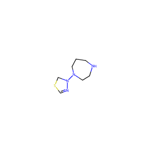 C1=NN(N2CCCNCC2)CS1